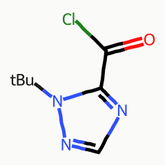 CC(C)(C)n1ncnc1C(=O)Cl